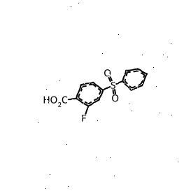 O=C(O)c1ccc(S(=O)(=O)c2ccccc2)cc1F